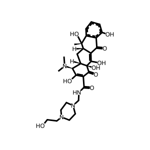 CN(C)[C@@H]1C(O)=C(C(=O)NCN2CCN(CCO)CC2)C(=O)[C@@]2(O)C(O)=C3C(=O)c4c(O)cccc4[C@@](C)(O)[C@H]3C[C@@H]12